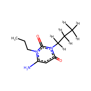 [2H]C([2H])([2H])C([2H])([2H])C([2H])([2H])n1c(=O)cc(N)n(CCC)c1=O